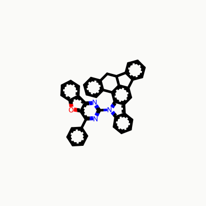 c1ccc(-c2nc(-n3c4ccccc4c4cc5c6c(c43)-c3ccccc3CC6c3ccccc3-5)nc3c2oc2ccccc23)cc1